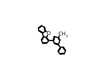 Cc1cc(-c2ccccc2)cc(-c2cccc3c2oc2ccccc23)c1